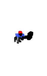 O=c1nc(/C=C/c2cccc3ccccc23)cc(C(F)(F)F)[nH]1